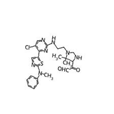 CN(c1ccccc1)c1ncc(-c2nc(NCCN3CNC(C(=O)C=O)C3(C)C)ncc2Cl)s1